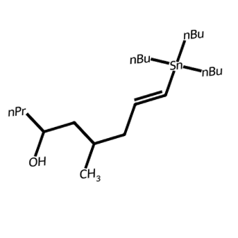 CCC[CH2][Sn]([CH]=CCC(C)CC(O)CCC)([CH2]CCC)[CH2]CCC